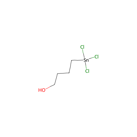 OCCC[CH2][Sn]([Cl])([Cl])[Cl]